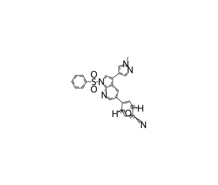 Cn1cc(-c2cn(S(=O)(=O)c3ccccc3)c3ncc(C4=C[C@H]5O[C@@H]4C[C@@H]5C#N)cc23)cn1